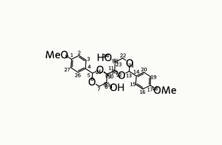 COc1ccc(C2OC[C@@H](O)[C@H]([C@@H]3OC(c4ccc(OC)cc4)OC[C@H]3O)O2)cc1